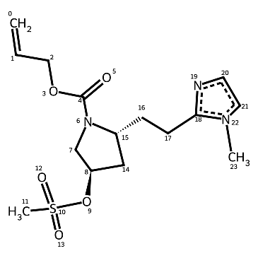 C=CCOC(=O)N1C[C@H](OS(C)(=O)=O)C[C@H]1CCc1nccn1C